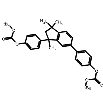 CC(C)(C)OC(=O)Oc1ccc(-c2ccc3c(c2)C(C)(c2ccc(OC(=O)OC(C)(C)C)cc2)CC3(C)C)cc1